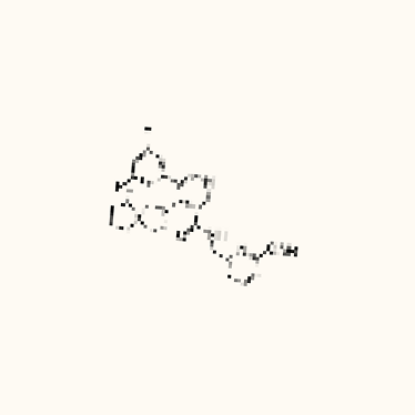 COc1cccc(CNC(=O)c2cncc(-c3cc(F)cc(F)c3)c2N2CCC3(CCCN3)C2)n1